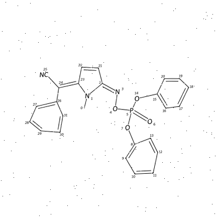 CN1C(=NOP(=O)(Oc2ccccc2)Oc2ccccc2)C=CC1=C(C#N)c1ccccc1